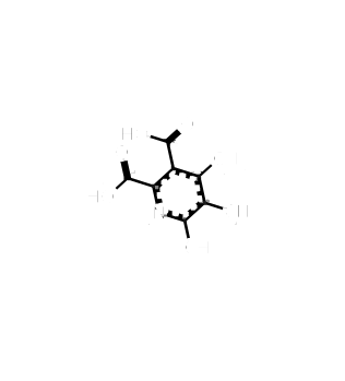 Cc1nc(C(=O)O)c(C(=O)O)c(C)c1C